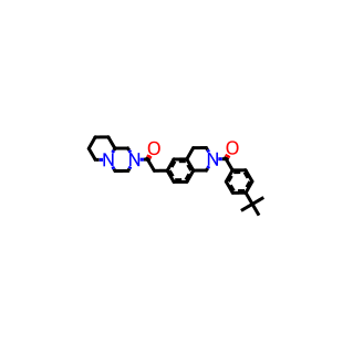 CC(C)(C)c1ccc(C(=O)N2CCc3cc(CC(=O)N4CCN5CCCCC5C4)ccc3C2)cc1